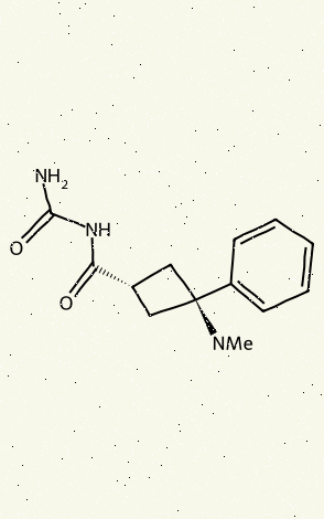 CN[C@]1(c2ccccc2)C[C@@H](C(=O)NC(N)=O)C1